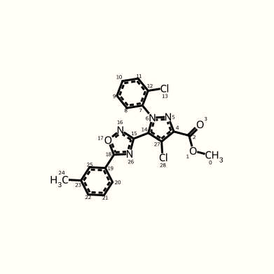 COC(=O)c1nn(-c2ccccc2Cl)c(-c2noc(-c3cccc(C)c3)n2)c1Cl